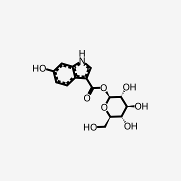 O=C(O[C@@H]1O[C@H](CO)[C@@H](O)[C@H](O)[C@H]1O)c1c[nH]c2cc(O)ccc12